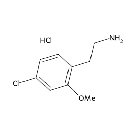 COc1cc(Cl)ccc1CCN.Cl